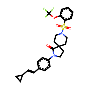 O=C1N(c2ccc(C=CC3CC3)cc2)CCC12CCN(S(=O)(=O)c1ccccc1OC(F)(F)F)CC2